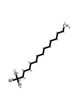 CCCCCCCCCCCCCCC(Br)(Br)Br